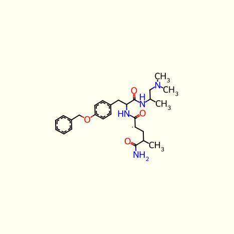 CC(CN(C)C)NC(=O)C(Cc1ccc(OCc2ccccc2)cc1)NC(=O)[CH]CC(C)C(N)=O